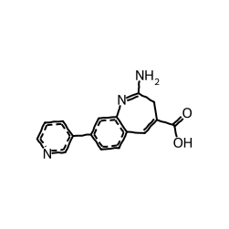 NC1=Nc2cc(-c3cccnc3)ccc2C=C(C(=O)O)C1